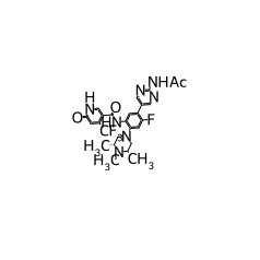 CC(=O)Nc1ncc(-c2cc(NC(=O)c3c[nH]c(=O)cc3C(F)(F)F)c(N3C[C@@H](C)N(C)[C@@H](C)C3)cc2F)cn1